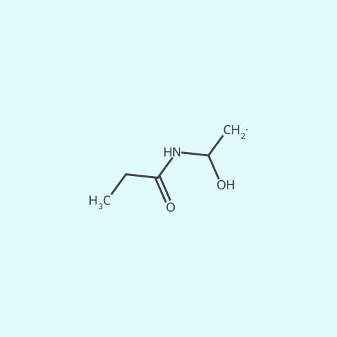 [CH2]C(O)NC(=O)CC